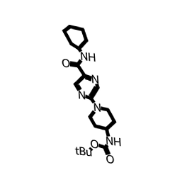 CC(C)(C)OC(=O)NC1CCN(c2cnc(C(=O)NC3CCCCC3)cn2)CC1